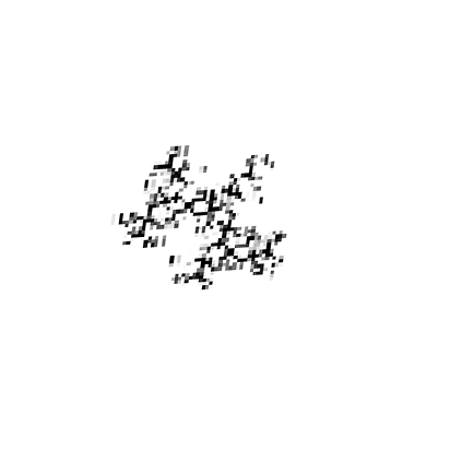 CC(=O)CC(C)(C)N(CC(C)(C)N(CC(C)(C)C(=O)O)C(C)(C)CC(C)(C)C(=O)O)C(C)(C)CC(C)(C)N(CC(C)(C)C(=O)O)C(C)(C)CC(C)(C)C(=O)O